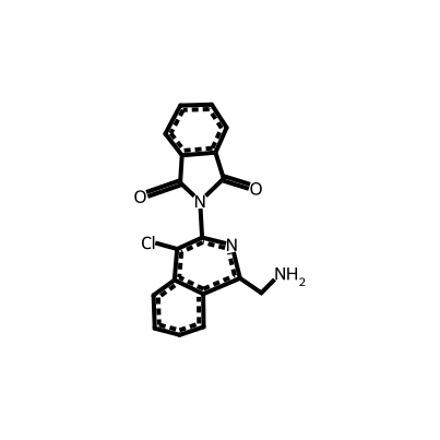 NCc1nc(N2C(=O)c3ccccc3C2=O)c(Cl)c2ccccc12